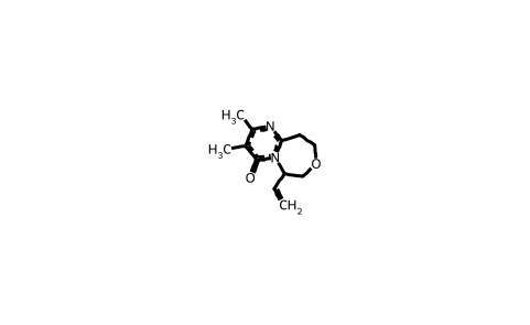 C=CC1COCCc2nc(C)c(C)c(=O)n21